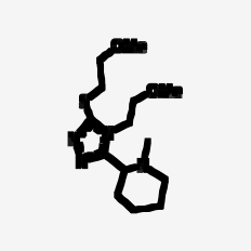 COCCSc1nnc(C2CCCCN2C)n1CCOC